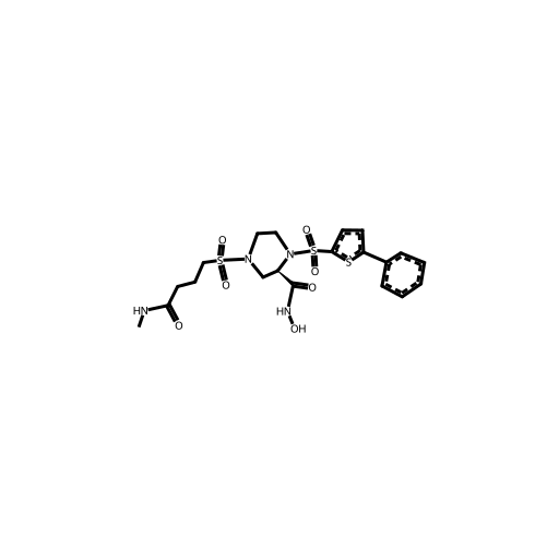 CNC(=O)CCCS(=O)(=O)N1CCN(S(=O)(=O)c2ccc(-c3ccccc3)s2)[C@@H](C(=O)NO)C1